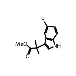 COC(=O)C(C)(C)c1c[nH]c2ccc(F)cc12